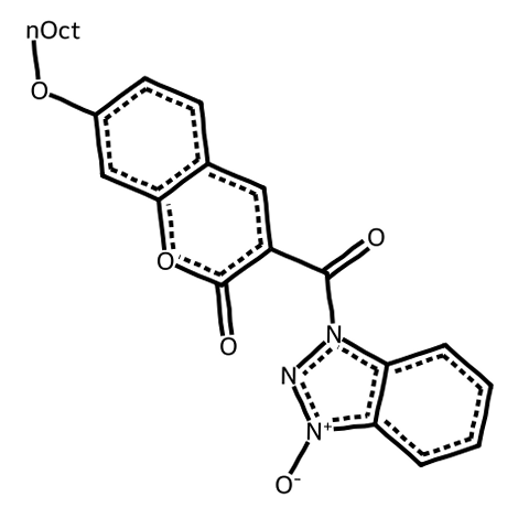 CCCCCCCCOc1ccc2cc(C(=O)n3n[n+]([O-])c4ccccc43)c(=O)oc2c1